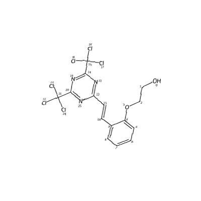 OCCOc1ccccc1C=Cc1nc(C(Cl)(Cl)Cl)nc(C(Cl)(Cl)Cl)n1